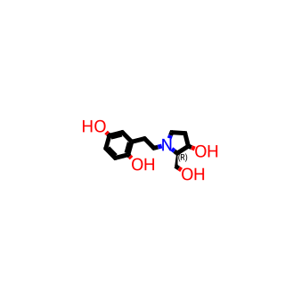 OC[C@@H]1C(O)CCN1CCc1cc(O)ccc1O